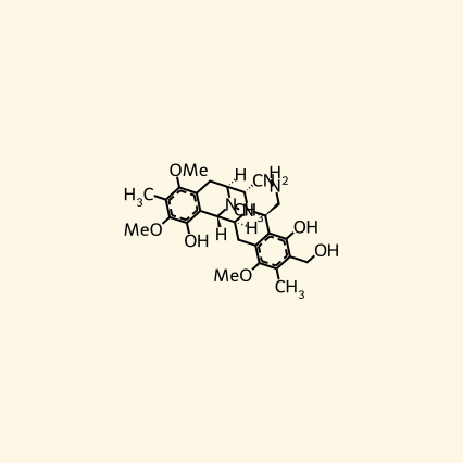 COc1c(C)c(OC)c2c(c1O)[C@H]1[C@@H]3Cc4c(OC)c(C)c(CO)c(O)c4[C@H](CN)N3[C@@H](C#N)[C@H](C2)N1C